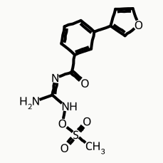 CS(=O)(=O)ONC(N)=NC(=O)c1cccc(-c2ccoc2)c1